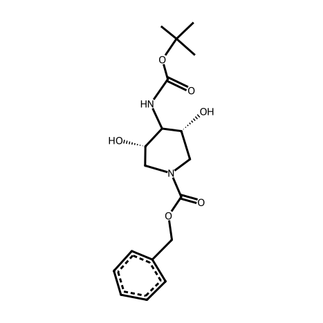 CC(C)(C)OC(=O)NC1[C@H](O)CN(C(=O)OCc2ccccc2)C[C@@H]1O